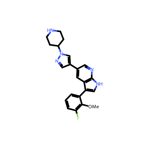 COc1c(F)cccc1-c1c[nH]c2ncc(-c3cnn(C4CCNCC4)c3)cc12